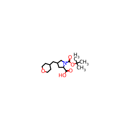 CC(C)(C)OC(=O)N1CC(CC2CCOCC2)CC1C(=O)O